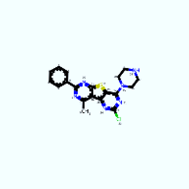 Cc1nc(-c2ccccc2)nc2sc3c(N4CCNCC4)nc(Cl)nc3c12